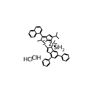 CC1=Cc2c(-c3ccccc3)cc(-c3ccccc3)cc2[CH]1[Zr]([CH3])([CH3])(=[SiH2])[C]1=C2SC(C)C(c3cccc4ccccc34)=C2C=C1C(C)C.Cl.Cl